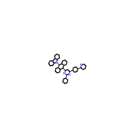 c1ccc(-c2nc(-c3ccc(-c4ccccn4)cc3)cc(-c3c4ccccc4c(-n4c5ccccc5c5ccccc54)c4ccccc34)n2)cc1